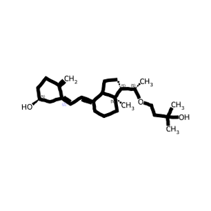 C=C1CC[C@H](O)C/C1=C/C=C1CCC[C@@]2(C)C1CC[C@@H]2[C@H](C)OCCC(C)(C)O